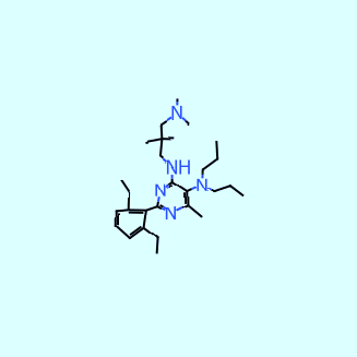 CCCN(CCC)c1c(C)nc(-c2c(CC)cccc2CC)nc1NCC(C)(C)CN(C)C